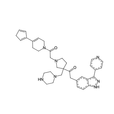 O=C(CN1CCC(CN2CCNCC2)(C(=O)Cc2ccc3[nH]nc(-c4ccncc4)c3c2)C1)N1CC=C(C2=CCC=C2)CC1